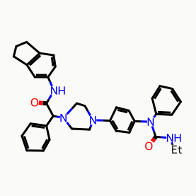 CCNC(=O)N(c1ccccc1)c1ccc(N2CCN(C(C(=O)Nc3ccc4c(c3)CCC4)c3ccccc3)CC2)cc1